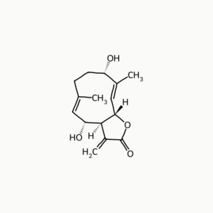 C=C1C(=O)O[C@H]2/C=C(\C)[C@@H](O)CC/C(C)=C/[C@@H](O)[C@H]12